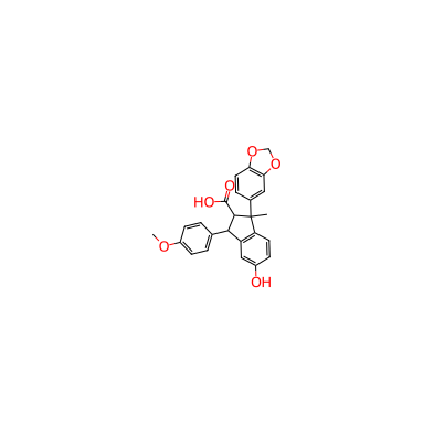 COc1ccc(C2c3cc(O)ccc3C(C)(c3ccc4c(c3)OCO4)C2C(=O)O)cc1